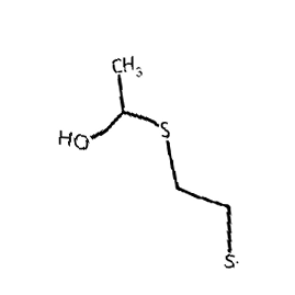 CC(O)SCC[S]